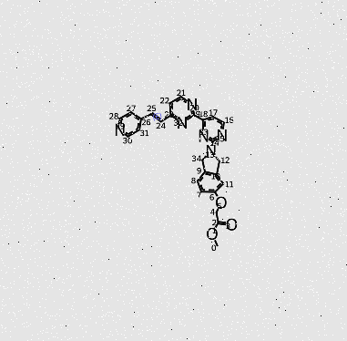 COC(=O)COc1ccc2c(c1)CN(c1nccc(-c3nccc(/C=C/c4ccncc4)n3)n1)C2